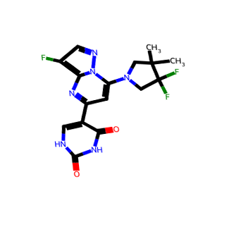 CC1(C)CN(c2cc(-c3c[nH]c(=O)[nH]c3=O)nc3c(F)cnn23)CC1(F)F